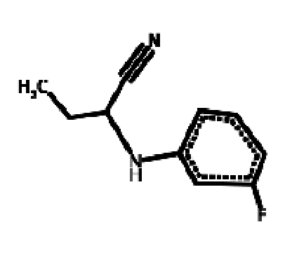 CCC(C#N)Nc1cccc(F)c1